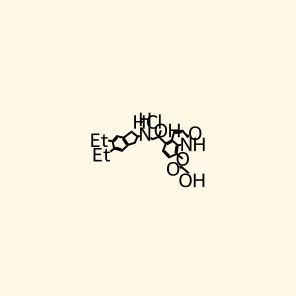 CCc1cc2c(cc1CC)CC(NCC(O)c1ccc(OC(=O)CO)c3[nH]c(=O)ccc13)C2.Cl